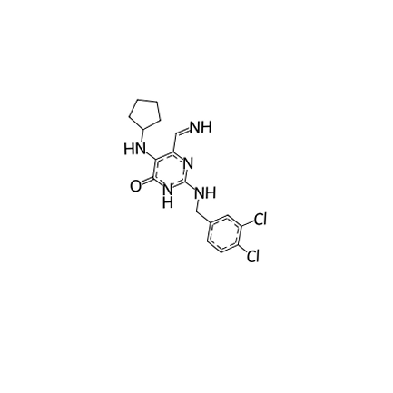 N=Cc1nc(NCc2ccc(Cl)c(Cl)c2)[nH]c(=O)c1NC1CCCC1